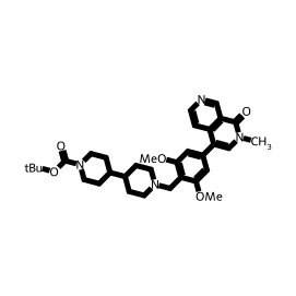 COc1cc(-c2cn(C)c(=O)c3cnccc23)cc(OC)c1CN1CCC(C2CCN(C(=O)OC(C)(C)C)CC2)CC1